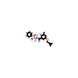 Cc1cc(OCC2CC2)cc(C(=O)NNS(=O)(=O)c2ccccc2)c1F